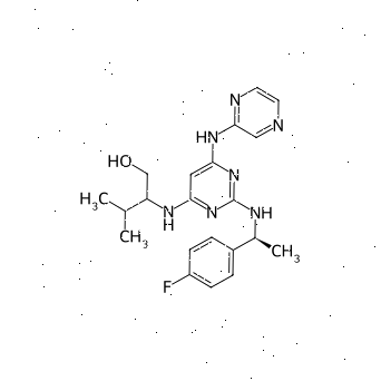 CC(C)C(CO)Nc1cc(Nc2cnccn2)nc(N[C@@H](C)c2ccc(F)cc2)n1